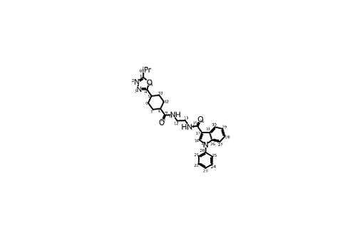 CC(C)c1nnc(C2CCC(C(=O)NCCNC(=O)c3cn(-c4ccccc4)c4ccccc34)CC2)o1